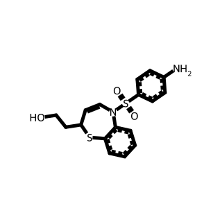 Nc1ccc(S(=O)(=O)N2C=CC(CCO)Sc3ccccc32)cc1